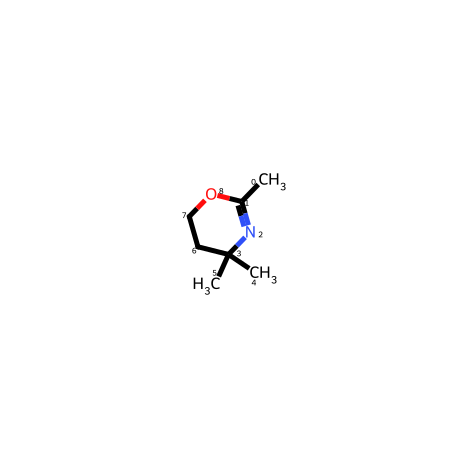 CC1=NC(C)(C)CCO1